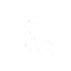 Cc1nc(N)c2ccn(CC(=O)N3CC(F)CC3C(=O)NCc3cccc(Cl)c3F)c2n1